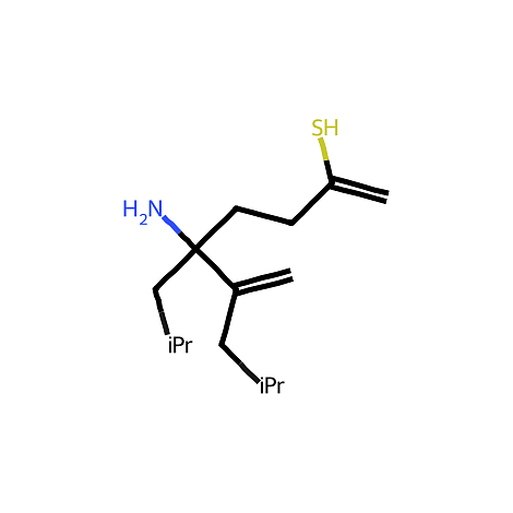 C=C(S)CCC(N)(CC(C)C)C(=C)CC(C)C